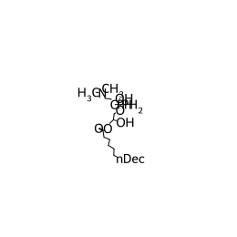 CCCCCCCCCCCCCCCC(=O)OCC(O)CO[PH](O)(P)OCCN(C)C